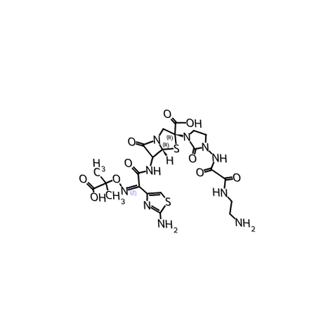 CC(C)(O/N=C(\C(=O)NC1C(=O)N2C[C@@](C(=O)O)(N3CCN(NC(=O)C(=O)NCCN)C3=O)S[C@H]12)c1csc(N)n1)C(=O)O